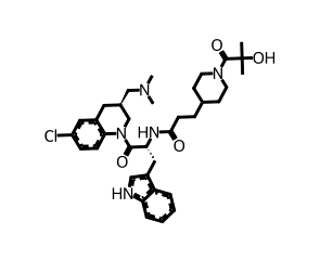 CN(C)C[C@@H]1Cc2cc(Cl)ccc2N(C(=O)[C@@H](Cc2c[nH]c3ccccc23)NC(=O)CCC2CCN(C(=O)C(C)(C)O)CC2)C1